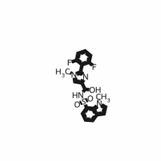 Cn1cc(C(O)NS(=O)(=O)c2cccc3ccn(C)c23)nc1-c1c(F)cccc1F